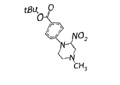 CN1CCN(c2ccc(C(=O)OC(C)(C)C)cc2)C([N+](=O)[O-])C1